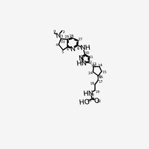 CN(C)[C@H]1CCc2nc(Nc3cc([C@@H]4CC[C@@H](CCCNC(=O)O)C4)[nH]n3)ccc21